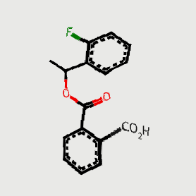 CC(OC(=O)c1ccccc1C(=O)O)c1ccccc1F